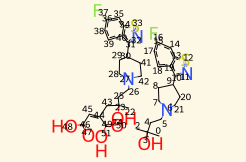 CC(C)(O)CCN1CCC(c2nsc3cc(F)ccc23)CC1.CC(O)(CCN1CCC(c2nsc3cc(F)ccc23)CC1)CC(=CC(=O)O)C(=O)O